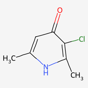 Cc1cc(=O)c(Cl)c(C)[nH]1